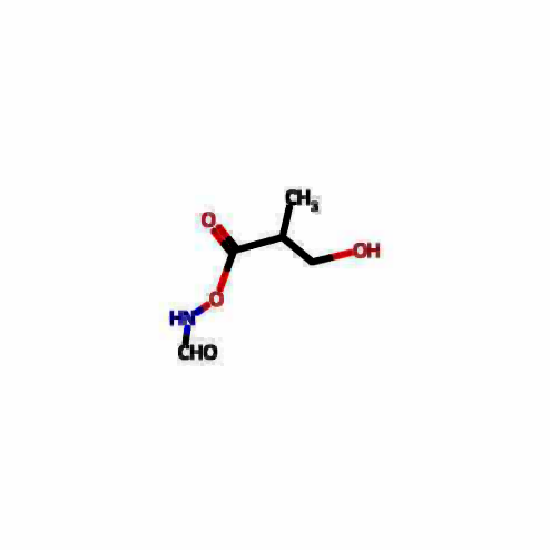 CC(CO)C(=O)ONC=O